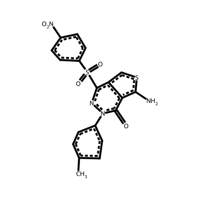 Cc1ccc(-n2nc(S(=O)(=O)c3ccc([N+](=O)[O-])cc3)c3csc(N)c3c2=O)cc1